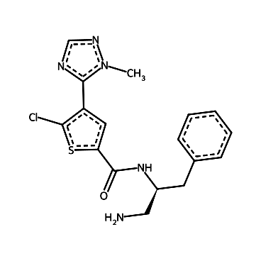 Cn1ncnc1-c1cc(C(=O)N[C@H](CN)Cc2ccccc2)sc1Cl